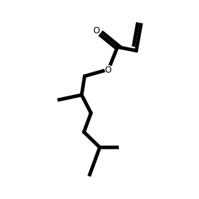 C=CC(=O)OCC(C)CCC(C)C